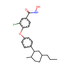 CCCC1CCC(C)C(c2ccc(Oc3ccc(C(=O)NO)cc3F)cc2)C1